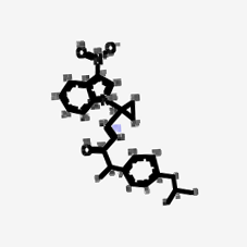 CC(C)Cc1ccc(C(C)C(=O)/C=C/C2(n3cc([N+](=O)[O-])c4ccccc43)CC2)cc1